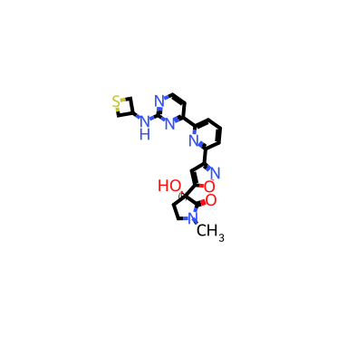 CN1CC[C@@](O)(c2cc(-c3cccc(-c4ccnc(NC5CSC5)n4)n3)no2)C1=O